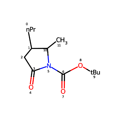 CCCC1CC(=O)N(C(=O)OC(C)(C)C)C1C